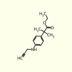 C#CCNc1ccc(C(C)(C)C(=O)OCC)cc1